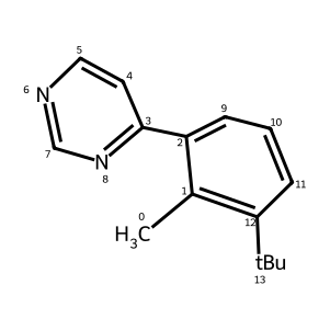 Cc1c(-c2ccncn2)cccc1C(C)(C)C